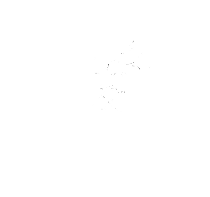 O=P(O)(NCCCl)N(CCCl)[C@@H]1O[C@H](CO)[C@@H](O[C@@H]2O[C@H](CO)[C@@H](O)[C@H](O)[C@H]2O)[C@H](O)[C@H]1O